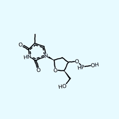 Cc1cn([C@H]2CC(OPO)[C@@H](CO)O2)c(=O)[nH]c1=O